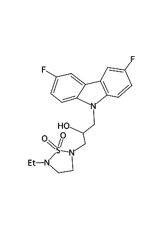 CCN1CCN(CC(O)Cn2c3ccc(F)cc3c3cc(F)ccc32)S1(=O)=O